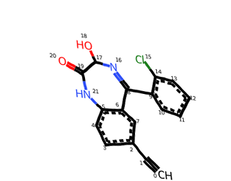 C#Cc1ccc2c(c1)C(c1ccccc1Cl)=NC(O)C(=O)N2